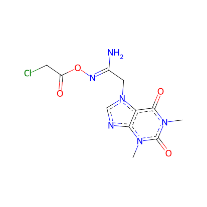 Cn1c(=O)c2c(ncn2CC(N)=NOC(=O)CCl)n(C)c1=O